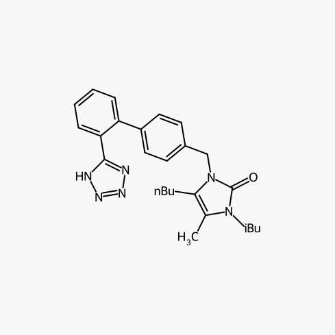 CCCCc1c(C)n(C(C)CC)c(=O)n1Cc1ccc(-c2ccccc2-c2nnn[nH]2)cc1